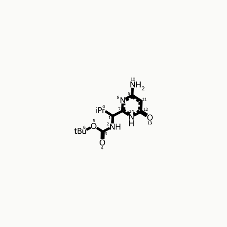 CC(C)C(NC(=O)OC(C)(C)C)c1nc(N)cc(=O)[nH]1